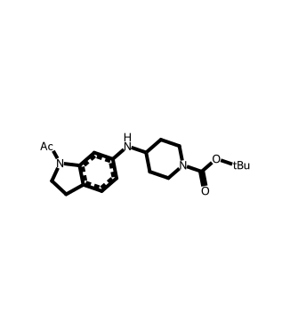 CC(=O)N1CCc2ccc(NC3CCN(C(=O)OC(C)(C)C)CC3)cc21